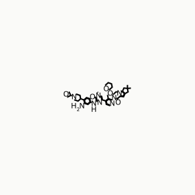 Cn1cc(-c2ccnc(N3CCn4c(cc5c4CC(C)(C)C5)C3=O)c2COC2CCCCO2)nc(Nc2ccc(C3CCN(C4COC4)CC3)c(N)c2)c1=O